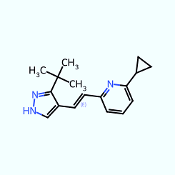 CC(C)(C)c1n[nH]cc1/C=C/c1cccc(C2CC2)n1